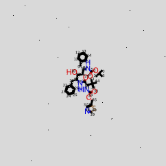 CC(C)(C)OC(=O)N[C@@H](Cc1ccccc1)C[C@H](O)[C@H](Cc1ccccc1)NC(=O)[C@@H](NC(=O)OCc1cncs1)C(C)(C)C